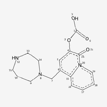 O=C(O)Oc1cc(CN2CCCNCC2)c2ccccn2c1=O